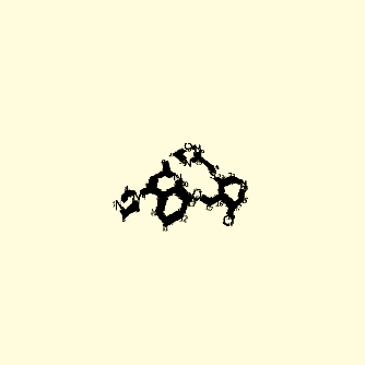 Cc1cc(-n2ccnc2)c2cccc(OCc3c(Cl)cncc3SCc3ncon3)c2n1